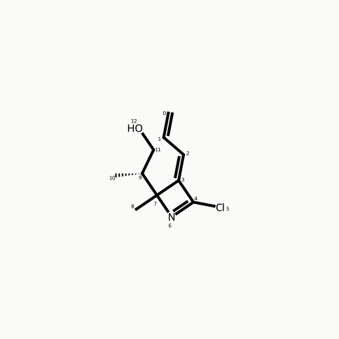 C=C/C=C1/C(Cl)=NC1(C)[C@H](C)CO